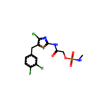 CNS(=O)(=O)OCC(=O)Nc1nc(Cl)c(Cc2ccc(F)c(Cl)c2)s1